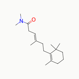 CC1=C(CC/C(C)=C/CC(=O)N(C)C)C(C)(C)CCC1